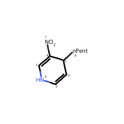 CCCCCC1C=CNC=C1[N+](=O)[O-]